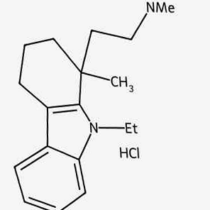 CCn1c2c(c3ccccc31)CCCC2(C)CCNC.Cl